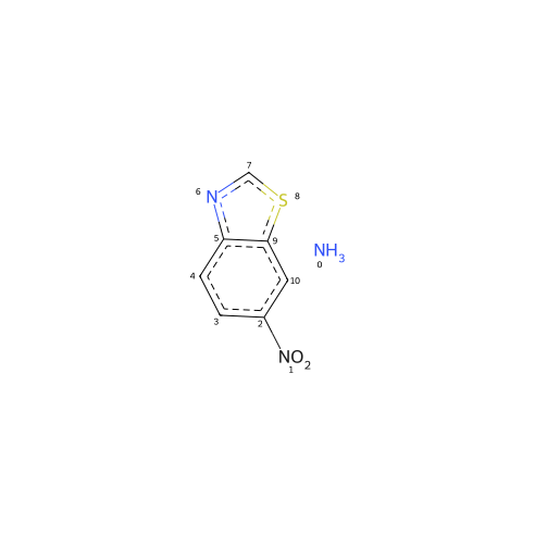 N.O=[N+]([O-])c1ccc2ncsc2c1